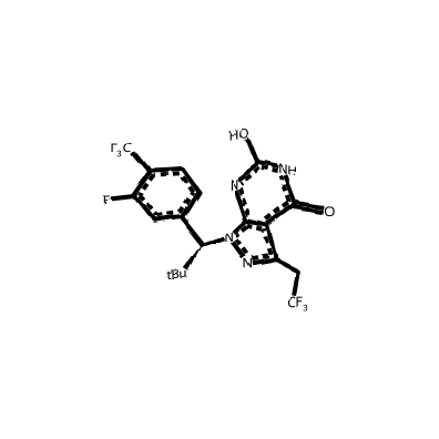 CC(C)(C)[C@@H](c1ccc(C(F)(F)F)c(F)c1)n1nc(CC(F)(F)F)c2c(=O)[nH]c(O)nc21